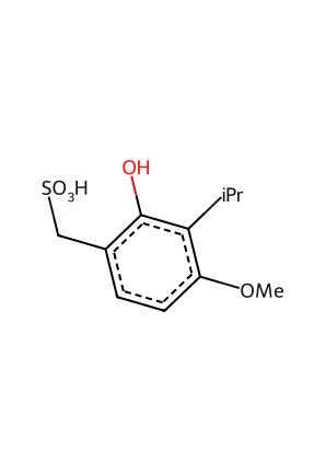 COc1ccc(CS(=O)(=O)O)c(O)c1C(C)C